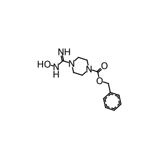 N=C(NO)N1CCN(C(=O)OCc2ccccc2)CC1